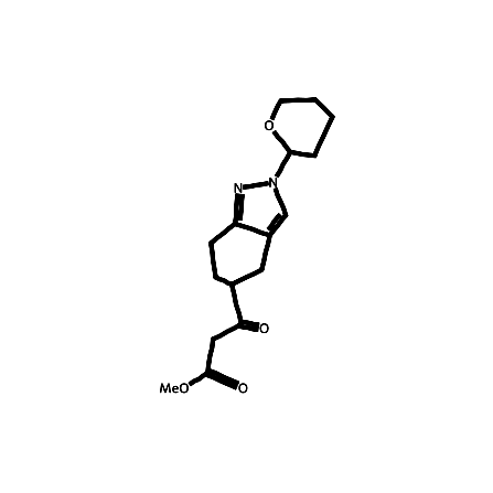 COC(=O)CC(=O)C1CCc2nn(C3CCCCO3)cc2C1